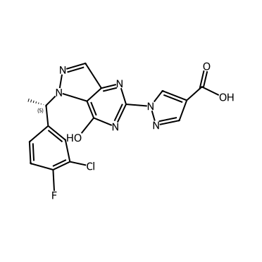 C[C@@H](c1ccc(F)c(Cl)c1)n1ncc2nc(-n3cc(C(=O)O)cn3)nc(O)c21